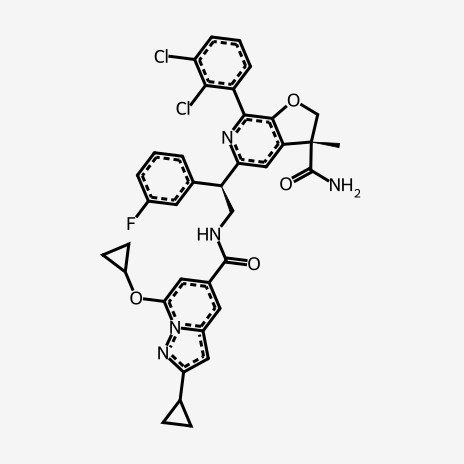 C[C@]1(C(N)=O)COc2c1cc([C@@H](CNC(=O)c1cc(OC3CC3)n3nc(C4CC4)cc3c1)c1cccc(F)c1)nc2-c1cccc(Cl)c1Cl